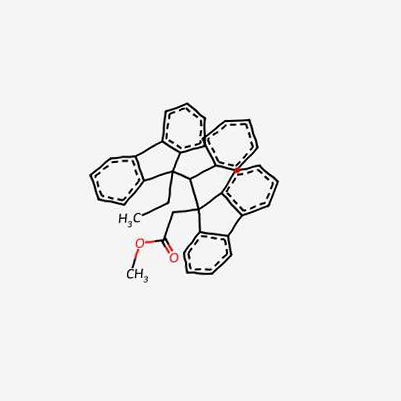 CCC1(C(c2ccccc2)C2(CC(=O)OC)c3ccccc3-c3ccccc32)c2ccccc2-c2ccccc21